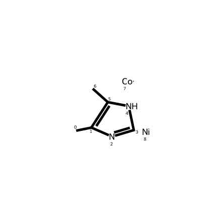 Cc1nc[nH]c1C.[Co].[Ni]